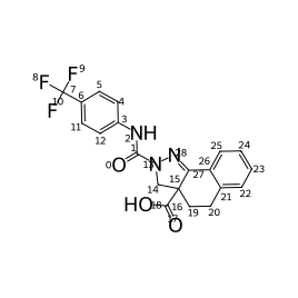 O=C(Nc1ccc(C(F)(F)F)cc1)N1CC2(C(=O)O)CCc3ccccc3C2=N1